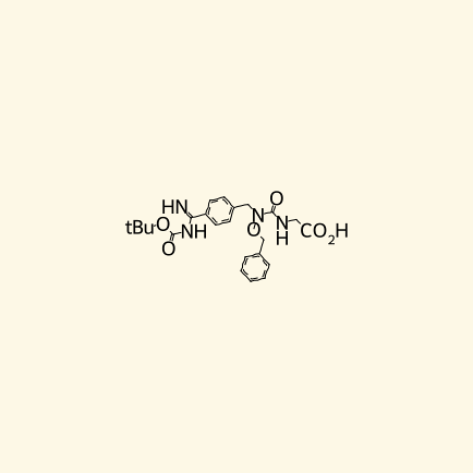 CC(C)(C)OC(=O)NC(=N)c1ccc(CN(OCc2ccccc2)C(=O)NCC(=O)O)cc1